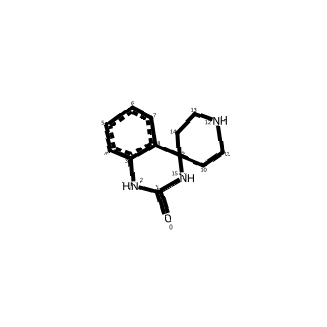 O=C1Nc2ccccc2C2([CH]CNCC2)N1